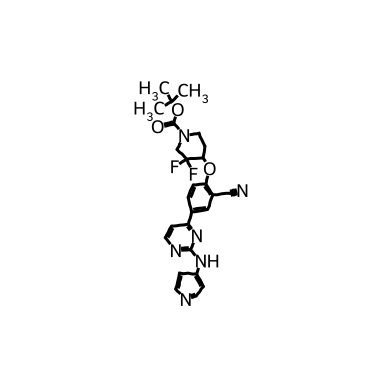 CC(C)(C)OC(=O)N1CCC(Oc2ccc(-c3ccnc(Nc4ccncc4)n3)cc2C#N)C(F)(F)C1